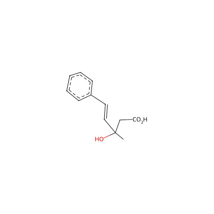 CC(O)(C=Cc1ccccc1)CC(=O)O